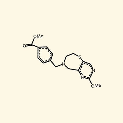 COC(=O)c1ccc(CN2CCSc3cnc(OC)nc3C2)cc1